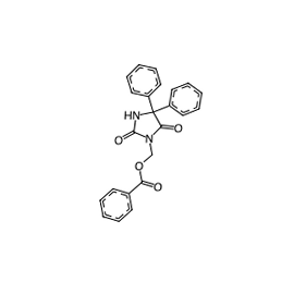 O=C(OCN1C(=O)NC(c2ccccc2)(c2ccccc2)C1=O)c1ccccc1